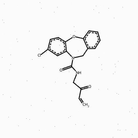 C=CC(=O)CNC(=O)N1Cc2ccccc2Oc2ccc(Cl)cc21